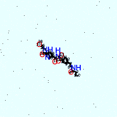 CCCC(=O)NCCc1ccc(S(=O)(=O)NC(=O)c2ccc(C(=O)NCCOC)nc2)cc1